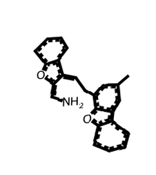 Cc1cc(C/C=c2\c(=C/N)oc3ccccc23)c2oc3ccccc3c2c1